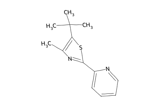 Cc1nc(-c2ccccn2)sc1C(C)(C)C